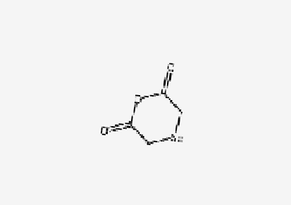 O=C1C[Se]CC(=O)O1